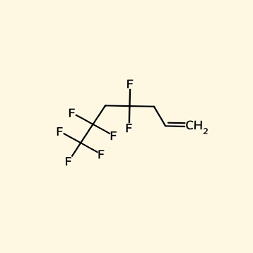 C=CCC(F)(F)CC(F)(F)C(F)(F)F